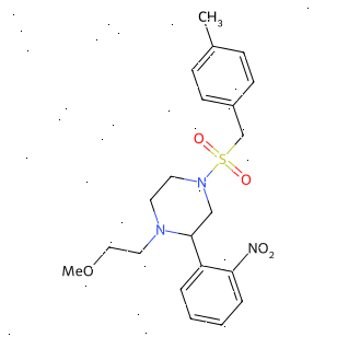 COCCN1CCN(S(=O)(=O)Cc2ccc(C)cc2)CC1c1ccccc1[N+](=O)[O-]